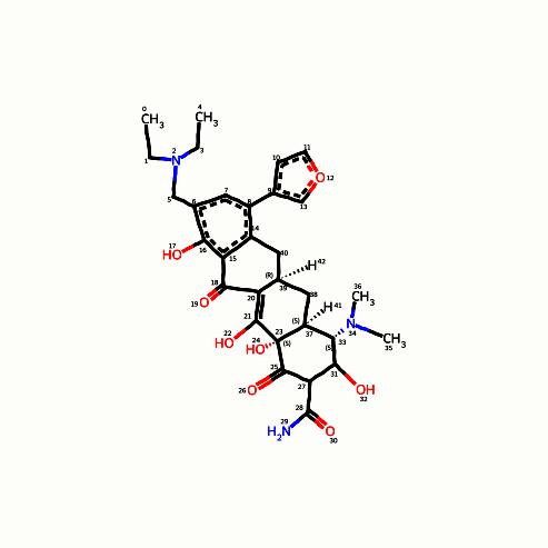 CCN(CC)Cc1cc(-c2ccoc2)c2c(c1O)C(=O)C1=C(O)[C@]3(O)C(=O)C(C(N)=O)C(O)[C@@H](N(C)C)[C@@H]3C[C@@H]1C2